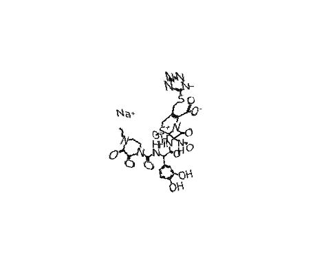 CCN1CCN(C(=O)NC(C(=O)N[C@]2(NC=O)C(=O)N3C(C(=O)[O-])=C(CSc4nnnn4C)C[S+]([O-])[C@@H]32)c2ccc(O)c(O)c2)C(=O)C1=O.[Na+]